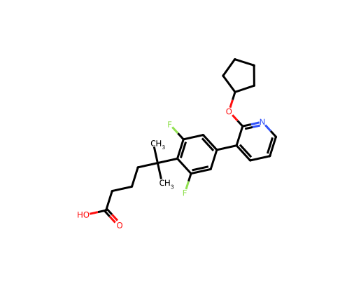 CC(C)(CCCC(=O)O)c1c(F)cc(-c2cccnc2OC2CCCC2)cc1F